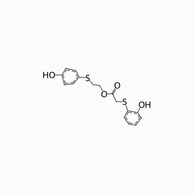 O=C(CSc1ccccc1O)OCCSc1ccc(O)cc1